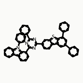 c1ccc(-c2cc(-c3ccccc3)c3sc4cc(-c5nc(-c6ccccc6)nc(-c6cccc7c8ccccc8n(-c8ccccc8)c67)n5)ccc4c3c2)cc1